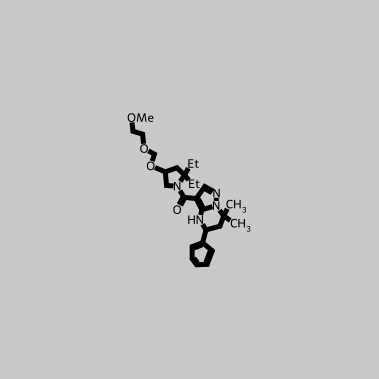 CCC1(CC)CC(OCOCCOC)CN1C(=O)c1cnn2c1NC(c1ccccc1)CC2(C)C